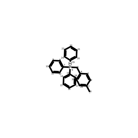 [CH2]c1ccc(C[PH](c2ccccc2)(c2ccccc2)c2ccccc2)cc1